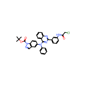 CC(C)(C)OC(=O)n1ncc2cc(N(c3ccccc3)c3nc(-c4cccc(NC(=O)CCl)c4)nc4ccccc34)ccc21